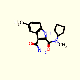 Cc1ccc2[nH]c(C(=O)N(C)C3CCCC3)c(C(N)=O)c2c1